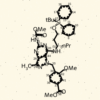 CCC[C@@H](CCO[Si](c1ccccc1)(c1ccccc1)C(C)(C)C)Nc1nc(NC(=O)OC)nc2c(C)nn(Cc3ccc(C(=O)OC)cc3OC)c12